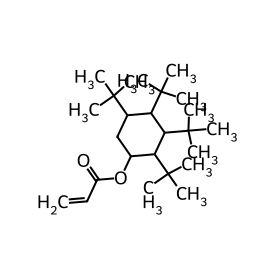 C=CC(=O)OC1CC(C(C)(C)C)C(C(C)(C)C)C(C(C)(C)C)C1C(C)(C)C